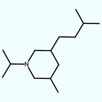 CC(C)CCC1CC(C)CN(C(C)C)C1